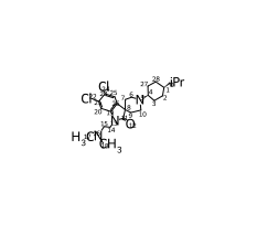 CC(C)[C@H]1CC[C@@H](N2CCC3(CC2)C(=O)N(CCN(C)C)c2cc(Cl)c(Cl)cc23)CC1